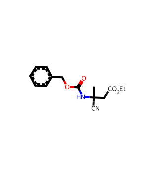 CCOC(=O)CC(C)(C#N)NC(=O)OCc1ccccc1